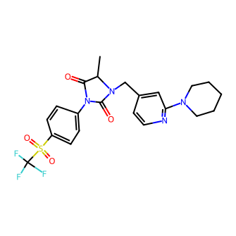 CC1C(=O)N(c2ccc(S(=O)(=O)C(F)(F)F)cc2)C(=O)N1Cc1ccnc(N2CCCCC2)c1